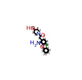 Nc1c(CC(=O)N2CCC(O)CC2)cccc1Oc1ccccc1F